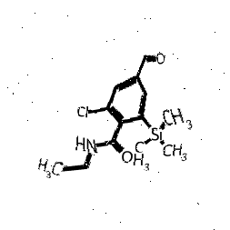 CCNC(=O)c1c(Cl)cc(C=O)cc1[Si](C)(C)C